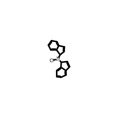 [Cl][Zr]([CH]1C=Cc2ccccc21)[CH]1C=Cc2ccccc21